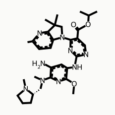 COc1nc(N(C)C[C@@H]2CCCN2C)c(N)cc1Nc1ncc(C(=O)OC(C)C)c(N2CC(C)(C)c3nc(C)ccc32)n1